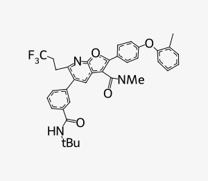 CNC(=O)c1c(-c2ccc(Oc3ccccc3C)cc2)oc2nc(CCC(F)(F)F)c(-c3cccc(C(=O)NC(C)(C)C)c3)cc12